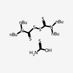 CCCCN(CCCC)C(=S)SSC(=S)N(CCCC)CCCC.NC(O)=S